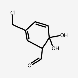 O=CC1C=C(CCl)C=CC1(O)O